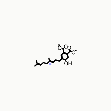 COC(=O)C1=C(C(=O)OC)CC(O)C(CC/C=C(\C)CCC=C(C)C)=C1